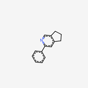 c1ccc(-c2cc3c(cn2)CCC3)cc1